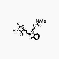 CCN1C(=O)C(=CC=C2Sc3ccccc3N2CCOC(=O)NC)SC1=S